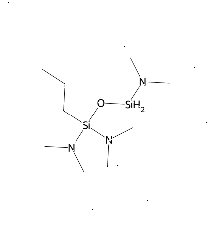 CCC[Si](O[SiH2]N(C)C)(N(C)C)N(C)C